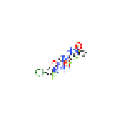 CS(=N)(=O)c1ccccc1-c1ccc(N2CCC[C@@H](NC(=O)Nc3ccc(Cl)cc3F)C2=O)c(F)c1F